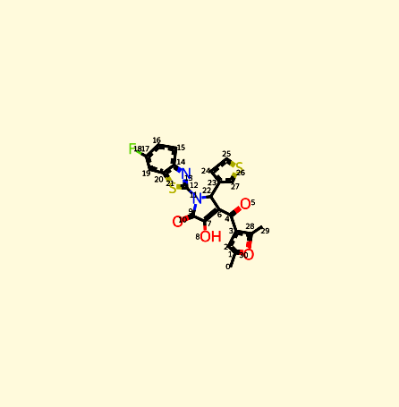 Cc1cc(C(=O)C2=C(O)C(=O)N(c3nc4ccc(F)cc4s3)C2c2ccsc2)c(C)o1